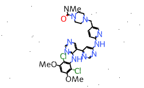 CNC(=O)N1CCN(Cc2ccc(Nc3cc(-c4cncnc4Nc4c(Cl)c(OC)cc(OC)c4Cl)ncn3)nc2)CC1